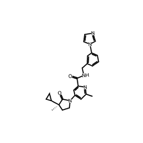 Cc1cc(N2CC[C@@](C)(C3CC3)C2=O)cc(C(=O)NCc2cccc(-n3ccnc3)c2)n1